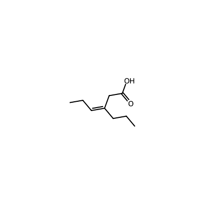 CCC=C(CCC)CC(=O)O